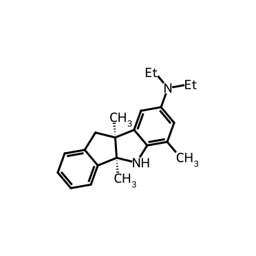 CCN(CC)c1cc(C)c2c(c1)[C@]1(C)Cc3ccccc3[C@]1(C)N2